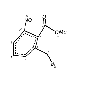 COC(=O)c1c(CBr)cccc1N=O